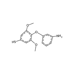 COc1cc(S)cc(OC)c1Oc1cccc(N)c1